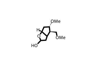 COC[C@H]1C2CC(O)O[C@@H]2C[C@@H]1OC